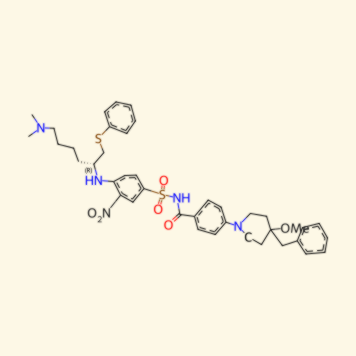 COC1(Cc2ccccc2)CCN(c2ccc(C(=O)NS(=O)(=O)c3ccc(N[C@H](CCCCN(C)C)CSc4ccccc4)c([N+](=O)[O-])c3)cc2)CC1